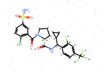 NS(=O)(=O)c1ccc(Cl)c(C(=O)N2CCC[C@@H]2C(=O)NC(c2ccc(C(F)(F)F)cc2F)C2CC2)c1